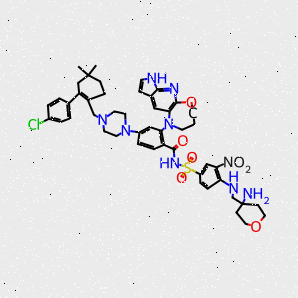 CC1(C)CCC(CN2CCN(c3ccc(C(=O)NS(=O)(=O)c4ccc(NCC5(N)CCOCC5)c([N+](=O)[O-])c4)c(N4CCCOc5nc6[nH]ccc6cc54)c3)CC2)=C(c2ccc(Cl)cc2)C1